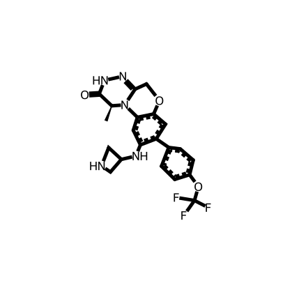 C[C@H]1C(=O)NN=C2COc3cc(-c4ccc(OC(F)(F)F)cc4)c(NC4CNC4)cc3N21